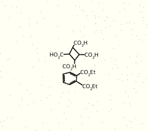 CCOC(=O)c1ccccc1C(=O)OCC.O=C(O)C1C(C(=O)O)C(C(=O)O)C1C(=O)O